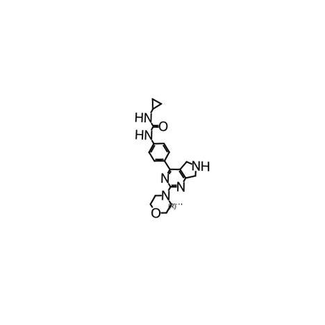 C[C@@H]1COCCN1c1nc2c(c(-c3ccc(NC(=O)NC4CC4)cc3)n1)CNC2